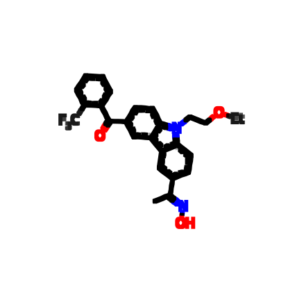 CCOCCn1c2ccc(C(=O)c3ccccc3C(F)(F)F)cc2c2cc(C(C)=NO)ccc21